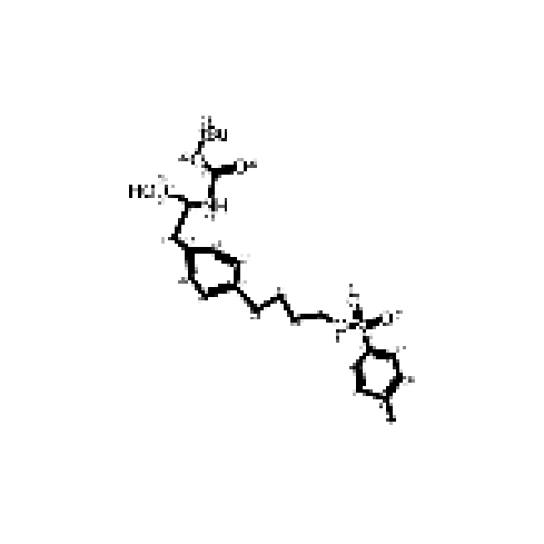 Cc1ccc(S(=O)(=O)OCCCCc2ccc(CC(NC(=O)OC(C)(C)C)C(=O)O)cc2)cc1